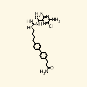 N=C(NCCCCc1ccc(-c2ccc(CCC(N)=O)cc2)cc1)NC(=O)c1nc(Cl)c(N)nc1N